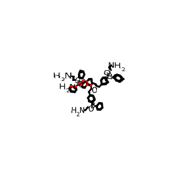 NCCOB(c1ccccc1)c1ccc(CC(Cc2ccc(B(OCCN)c3ccccc3)cc2)OC(Cc2ccc(B(OCCN)c3ccccc3)cc2)Cc2ccc(B(OCCN)c3ccccc3)cc2)cc1